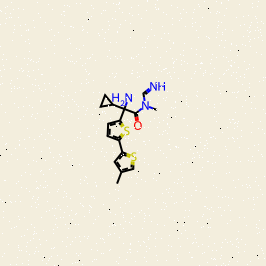 Cc1csc(-c2ccc(C(N)(C(=O)N(C)C=N)C3CC3)s2)c1